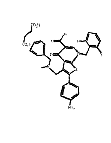 CC(C)C(=O)c1cn(Cc2c(F)cccc2F)c2sc(-c3ccc(N)cc3)c(CN(C)Cc3ccccc3)c2c1=O.O=C(O)CCC(=O)O